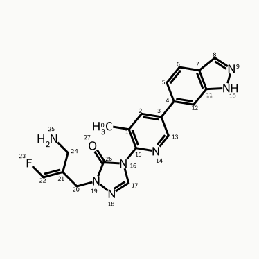 Cc1cc(-c2ccc3cn[nH]c3c2)cnc1-n1cnn(C/C(=C/F)CN)c1=O